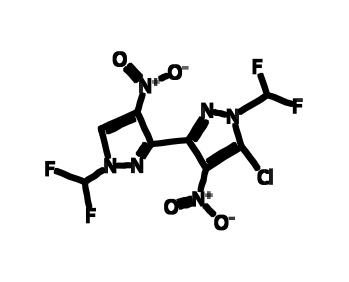 O=[N+]([O-])c1cn(C(F)F)nc1-c1nn(C(F)F)c(Cl)c1[N+](=O)[O-]